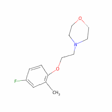 Cc1cc(F)ccc1OCCN1CCOCC1